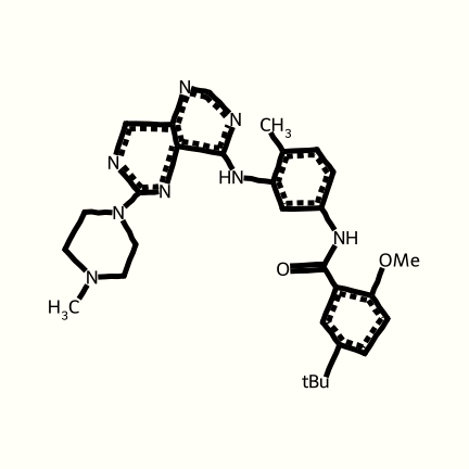 COc1ccc(C(C)(C)C)cc1C(=O)Nc1ccc(C)c(Nc2ncnc3cnc(N4CCN(C)CC4)nc23)c1